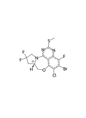 CSc1nc2c3c(c(Cl)c(Br)c(F)c3n1)OC[C@@H]1CC(F)(F)CN21